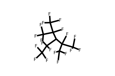 FC(F)(F)C(F)(F)[C](C(F)(C(F)(F)F)C(F)(F)F)C(F)(C(F)(F)F)C(F)(F)F